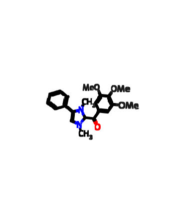 COc1cc(C(=O)C2N(C)C=C(c3ccccc3)N2C)cc(OC)c1OC